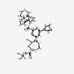 CC1CN(C(=O)OC(C)(C)C)CCCN1c1cc(-n2ccnc2)nc(C(=O)C2CCC[C@@]3(CCCCC34OCCO4)C2=O)n1